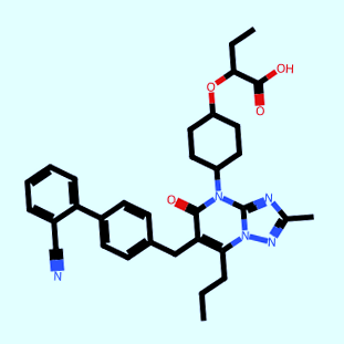 CCCc1c(Cc2ccc(-c3ccccc3C#N)cc2)c(=O)n(C2CCC(OC(CC)C(=O)O)CC2)c2nc(C)nn12